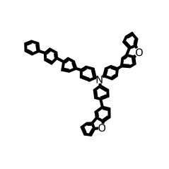 c1ccc(-c2ccc(-c3ccc(-c4ccc(N(c5ccc(-c6ccc7oc8ccccc8c7c6)cc5)c5ccc(-c6ccc7oc8ccccc8c7c6)cc5)cc4)cc3)cc2)cc1